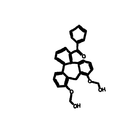 O=C(c1ccccc1)c1cccc2c1-c1cccc(OCO)c1Cc1c(OCO)cccc1-2